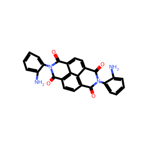 Nc1ccccc1N1C(=O)c2ccc3c4c(ccc(c24)C1=O)C(=O)N(c1ccccc1N)C3=O